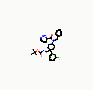 CC(C)(C)OC(=O)NCC1(c2cccc(Cl)c2)CCC(N(Cc2ccccc2)C(=O)c2cccnn2)CC1